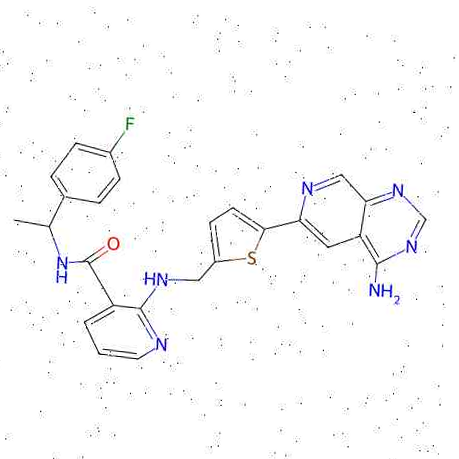 CC(NC(=O)c1cccnc1NCc1ccc(-c2cc3c(N)ncnc3cn2)s1)c1ccc(F)cc1